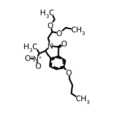 CCCCOc1ccc2c(c1)C(=O)N(CC(OCC)OCC)C2C(C)[N+](=O)[O-]